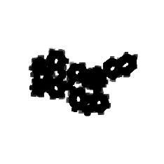 c1cc(-c2ccc3ccccc3c2)cc(-c2cccc3oc4ccc(N(c5cccc6c5Oc5ccccc5C65c6ccccc6-c6ccccc65)c5cccc6c5oc5ccccc56)cc4c23)c1